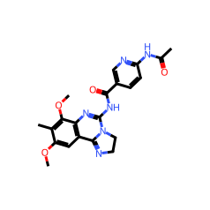 COc1cc2c(c(OC)c1C)N=C(NC(=O)c1ccc(NC(C)=O)nc1)N1CCN=C21